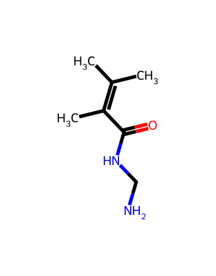 CC(C)=C(C)C(=O)NCN